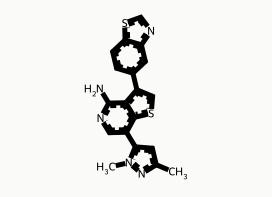 Cc1cc(-c2cnc(N)c3c(-c4ccc5scnc5c4)csc23)n(C)n1